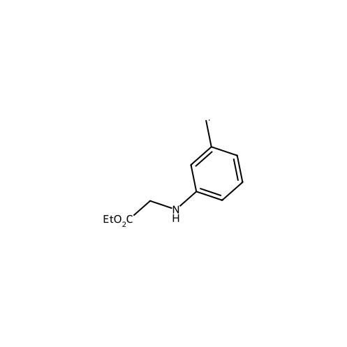 [CH2]c1cccc(NCC(=O)OCC)c1